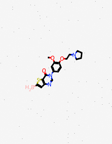 Bc1cc2ncn(-c3ccc(OCCN4CCCC4)c(OC)c3)c(=O)c2s1